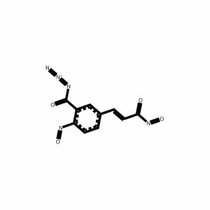 [N-]=[N+]=NC(=O)c1cc(/C=C/C(=O)N=O)ccc1N=O